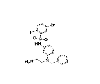 NCCN(Cc1ccccc1)c1cccc(NS(=O)(=O)c2cc(Br)ccc2F)c1